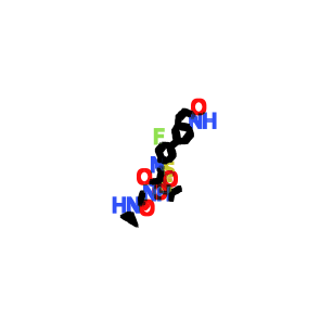 CC(C)S(=O)(=O)C(C(=O)NCC(=O)NC1CC1)c1nc2cc(F)c(-c3ccc4[nH]c(=O)ccc4c3)cc2s1